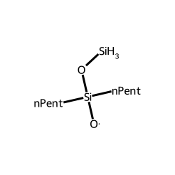 CCCCC[Si]([O])(CCCCC)O[SiH3]